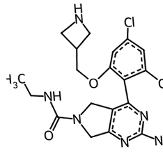 CCNC(=O)N1Cc2nc(N)nc(-c3c(Cl)cc(Cl)cc3OCC3CNC3)c2C1